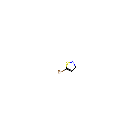 BrC1=CC[N]S1